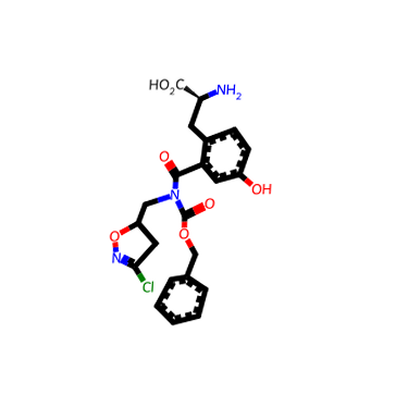 N[C@@H](Cc1ccc(O)cc1C(=O)N(CC1CC(Cl)=NO1)C(=O)OCc1ccccc1)C(=O)O